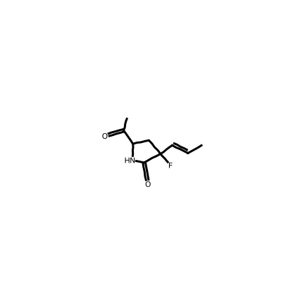 C/C=C/C1(F)CC(C(C)=O)NC1=O